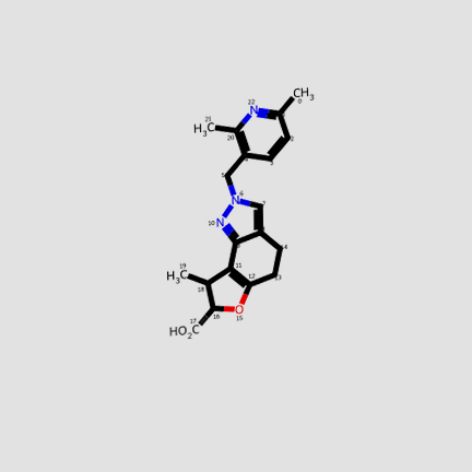 Cc1ccc(Cn2cc3c(n2)C2=C(CC3)OC(C(=O)O)C2C)c(C)n1